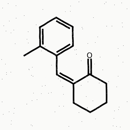 Cc1ccccc1C=C1CCCCC1=O